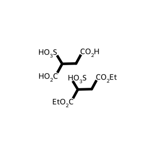 CCOC(=O)CC(C(=O)OCC)S(=O)(=O)O.O=C(O)CC(C(=O)O)S(=O)(=O)O